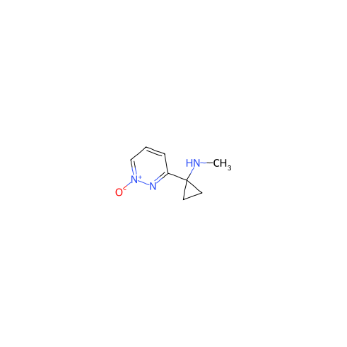 CNC1(c2ccc[n+]([O-])n2)CC1